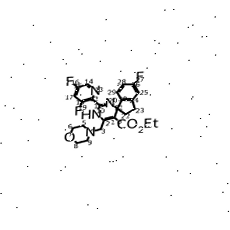 CCOC(=O)C1=C(CN2CCOCC2)NC(c2ncc(F)cc2F)=NC12CCc1cc(F)ccc12